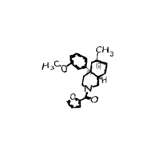 COc1cccc([C@@]23CCN(C(=O)c4ccco4)C[C@@H]2CC[C@H](C)C3)c1